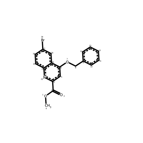 COC(=O)c1cc(OCc2ccccc2)c2cc(Br)ccc2n1